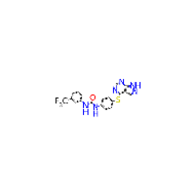 O=C(Nc1ccc(Sc2ncnc3[nH]ncc23)cc1)Nc1cccc(C(F)(F)F)c1